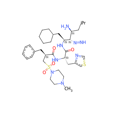 CC(C)C[C@H](N)[C@H](N=N)[C@H](CC1CCCCC1)NC(=O)[C@H](Cc1cscn1)NC(=O)[C@H](Cc1ccccc1)CS(=O)(=O)N1CCN(C)CC1